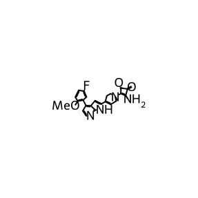 COc1ccc(F)cc1-c1ccnc2[nH]c(C3=CCN(c4c(N)c(=O)c4=O)CC3)cc12